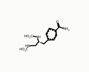 NC(=O)c1ccc(C[C@@H](CNC(=O)O)NC(=O)O)cc1